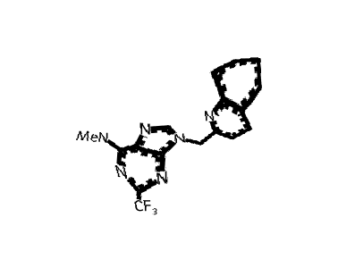 CNc1nc(C(F)(F)F)nc2c1ncn2Cc1ccc2ccccc2n1